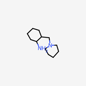 NC1CCCCC1CN1CCCCC1